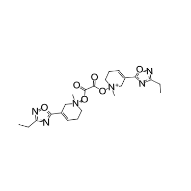 CCc1noc(C2=CCC[N+](C)(OC(=O)C(=O)O[N+]3(C)CCC=C(c4nc(CC)no4)C3)C2)n1